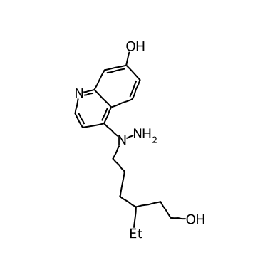 CCC(CCO)CCCN(N)c1ccnc2cc(O)ccc12